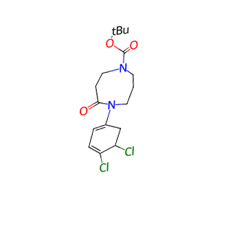 CC(C)(C)OC(=O)N1CCCN(C2=CC=C(Cl)C(Cl)C2)C(=O)CC1